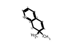 CC1(C)C=Cc2cccnc2C1